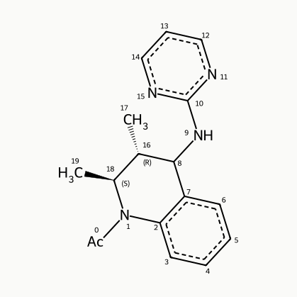 CC(=O)N1c2ccccc2C(Nc2ncccn2)[C@@H](C)[C@@H]1C